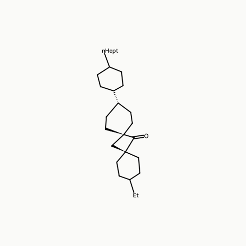 CCCCCCCC1CCC([C@H]2CC[C@]3(CC2)C[C@@]2(CCC(CC)CC2)C3=O)CC1